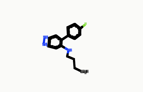 NN.O=C(O)CCCNc1ccccc1-c1ccc(F)cc1